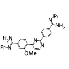 COc1cc(C(N)=NC(C)C)ccc1-c1ccnc(-c2ccc(C(N)=NC(C)C)cc2)n1